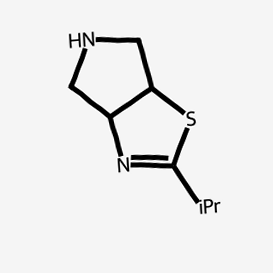 CC(C)C1=NC2CNCC2S1